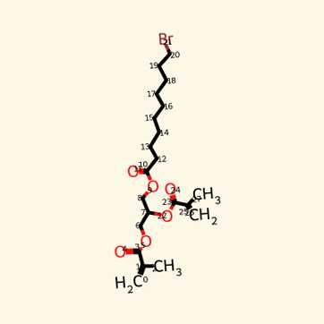 C=C(C)C(=O)OCC(COC(=O)CCCCCCCCCBr)OC(=O)C(=C)C